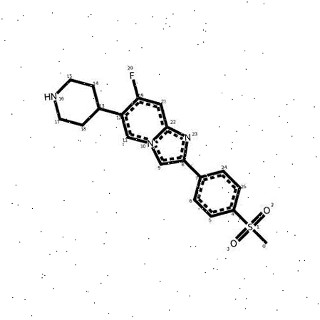 CS(=O)(=O)c1ccc(-c2cn3cc(C4CCNCC4)c(F)cc3n2)cc1